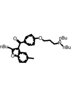 CCCCc1oc2ccc(C)cc2c1C(=O)c1ccc(OCCCN(CCCC)CCCC)cc1